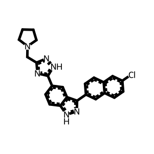 Clc1ccc2cc(-c3n[nH]c4ccc(-c5nc(CN6CCCC6)n[nH]5)cc34)ccc2c1